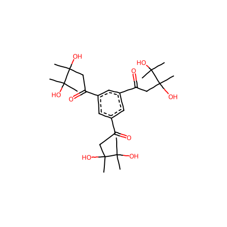 CC(C)(O)C(C)(O)CC(=O)c1cc(C(=O)CC(C)(O)C(C)(C)O)cc(C(=O)CC(C)(O)C(C)(C)O)c1